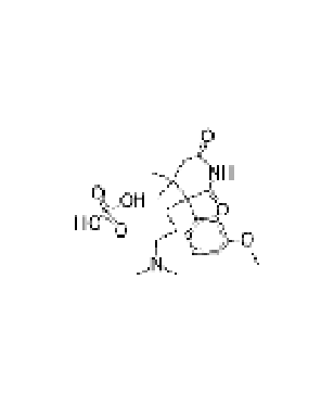 COc1cccc(C2(CCCN(C)C)C(=O)NC(=O)CC2(C)C)c1.O=S(=O)(O)O